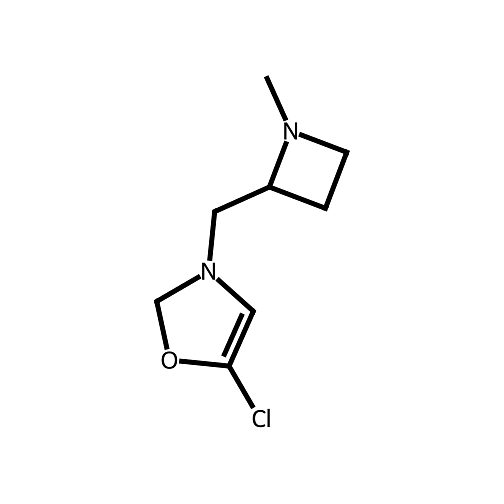 CN1CCC1CN1C=C(Cl)OC1